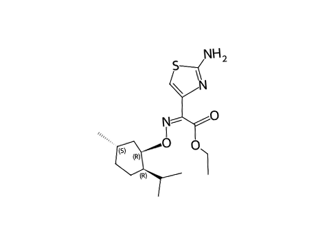 CCOC(=O)C(=NO[C@@H]1C[C@@H](C)CC[C@@H]1C(C)C)c1csc(N)n1